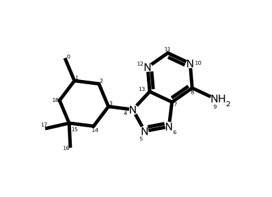 CC1CC(n2nnc3c(N)ncnc32)CC(C)(C)C1